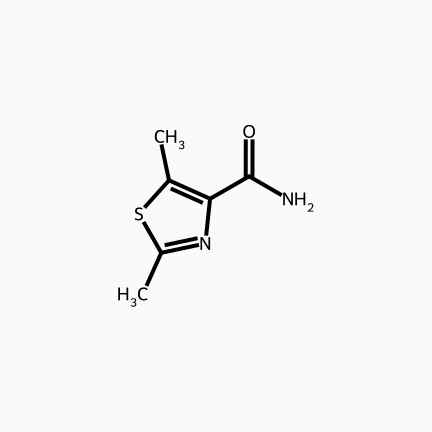 Cc1nc(C(N)=O)c(C)s1